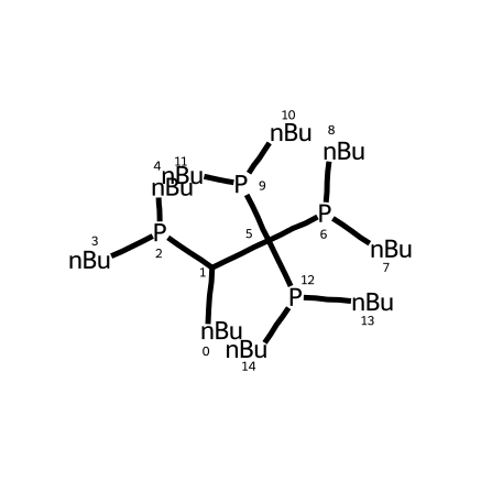 CCCCC(P(CCCC)CCCC)C(P(CCCC)CCCC)(P(CCCC)CCCC)P(CCCC)CCCC